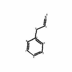 S=CCc1ccccc1